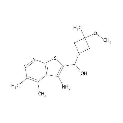 COC1(C)CN(C(O)c2sc3nnc(C)c(C)c3c2N)C1